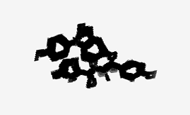 Cc1cnc(C(=O)N[C@@H](C)[C@H](Oc2ccc3c(cnn3-c3ccc(F)cc3)c2)c2ccc(Cl)cc2)s1